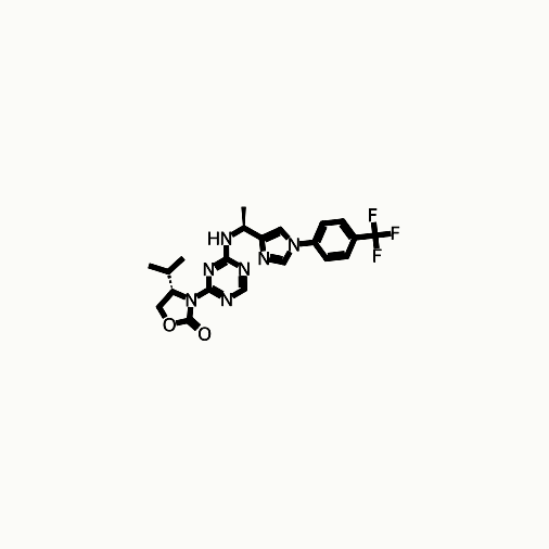 CC(C)[C@H]1COC(=O)N1c1ncnc(N[C@@H](C)c2cn(-c3ccc(C(F)(F)F)cc3)cn2)n1